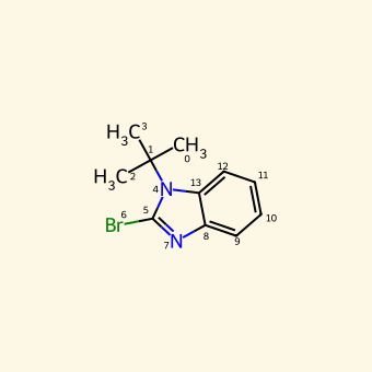 CC(C)(C)n1c(Br)nc2ccccc21